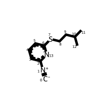 [C-]#[N+]c1cccc(SCCC(C)C)n1